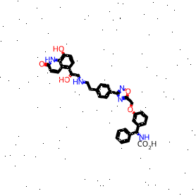 O=C(O)NC(c1ccccc1)c1cccc(OCc2nc(-c3ccc(CCNCC(O)c4ccc(O)c5[nH]c(=O)ccc45)cc3)no2)c1